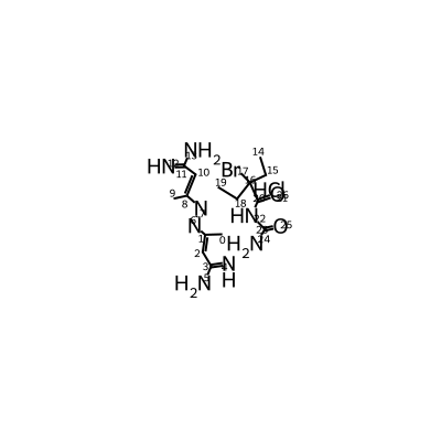 CC(=C\C(=N)N)/N=N/C(C)=C/C(=N)N.CCC(Br)(CC)C(=O)NC(N)=O.Cl